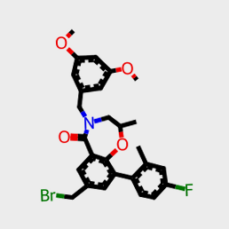 COc1cc(CN2CC(C)Oc3c(cc(CBr)cc3-c3ccc(F)cc3C)C2=O)cc(OC)c1